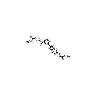 CC(C)(C)OC(=O)CCNC(=O)c1cccc(-c2cn3c(n2)CCC(CNC(=O)OC(C)(C)C)C3)c1